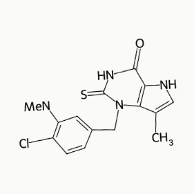 CNc1cc(Cn2c(=S)[nH]c(=O)c3[nH]cc(C)c32)ccc1Cl